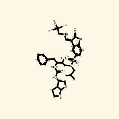 CC(C)CN(CC(O)C(Cc1ccccc1)NC(=O)OC1COC2OCCC12)S(=O)(=O)c1ccc2c(c1)C(=CNCC(F)(F)F)C(=O)N2